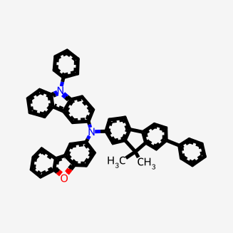 CC1(C)c2cc(-c3ccccc3)ccc2-c2ccc(N(c3ccc4oc5ccccc5c4c3)c3ccc4c(c3)c3ccccc3n4-c3ccccc3)cc21